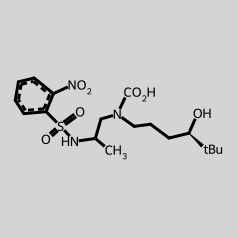 CC(CN(CCC[C@@H](O)C(C)(C)C)C(=O)O)NS(=O)(=O)c1ccccc1[N+](=O)[O-]